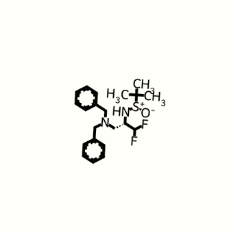 CC(C)(C)[S@@+]([O-])N[C@@H](CN(Cc1ccccc1)Cc1ccccc1)C(F)F